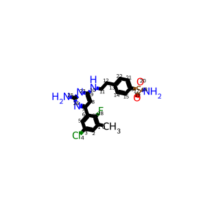 Cc1cc(Cl)cc(-c2cc(NCCc3ccc(S(N)(=O)=O)cc3)nc(N)n2)c1F